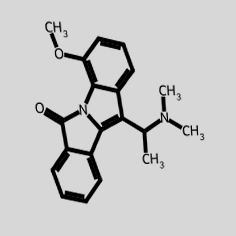 COc1cccc2c(C(C)N(C)C)c3n(c12)C(=O)c1ccccc1-3